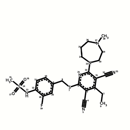 CCc1c(C#N)c(SCc2ccc(NS(C)(=O)=O)c(F)c2)nc(N2CCCN(C)CC2)c1C#N